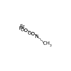 CCCCCCC/N=C/c1ccc(OCc2ccc(OC(F)(F)F)cc2)cc1